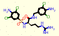 N=C(N)NCCC[C@@H](NS(=O)(=O)c1cc(Cl)c(N)c(Cl)c1)C(=O)NCc1cc(Cl)c(N)c(Cl)c1